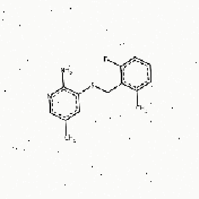 Cc1cnc(N)c(SCc2c(C)cccc2F)c1